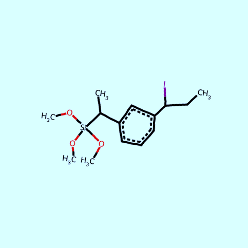 CCC(I)c1cccc(C(C)[Si](OC)(OC)OC)c1